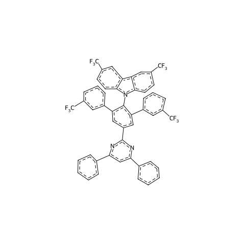 FC(F)(F)c1cccc(-c2cc(-c3nc(-c4ccccc4)cc(-c4ccccc4)n3)cc(-c3cccc(C(F)(F)F)c3)c2-n2c3ccc(C(F)(F)F)cc3c3cc(C(F)(F)F)ccc32)c1